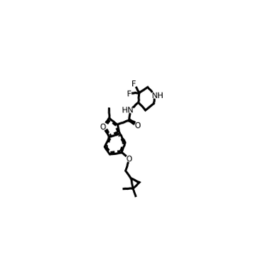 Cc1oc2ccc(OCC3CC3(C)C)cc2c1C(=O)NC1CCNCC1(F)F